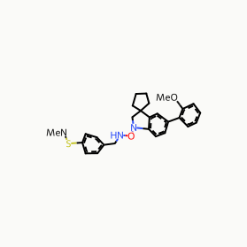 CNSc1ccc(CNON2CC3(CCCC3)c3cc(-c4ccccc4OC)ccc32)cc1